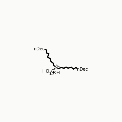 CCCCCCCCCCCCCCCCCC[N+](C)(C)CCCCCCCCCCCCCCCCCC.O=C(O)O.[Cl-]